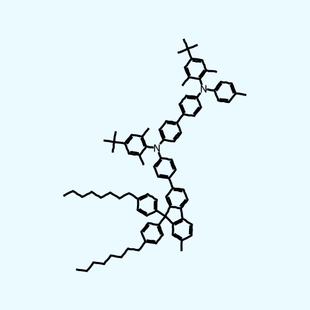 CCCCCCCCc1ccc(C2(c3ccc(CCCCCCCC)cc3)c3cc(C)ccc3-c3ccc(-c4ccc(N(c5ccc(-c6ccc(N(c7ccc(C)cc7)c7c(C)cc(C(C)(C)C)cc7C)cc6)cc5)c5c(C)cc(C(C)(C)C)cc5C)cc4)cc32)cc1